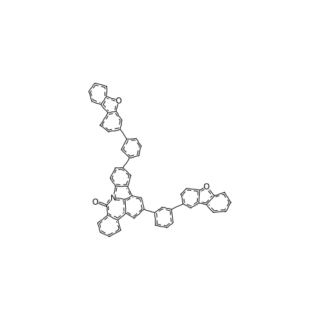 O=c1c2ccccc2c2cc(-c3cccc(-c4ccc5oc6ccccc6c5c4)c3)cc3c4cc(-c5cccc(-c6ccc7c(c6)oc6ccccc67)c5)ccc4n1c23